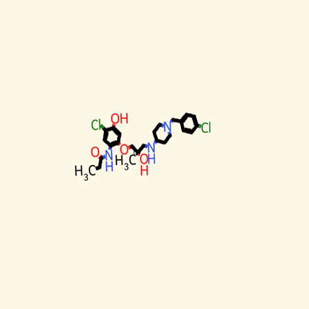 CCC(=O)Nc1cc(Cl)c(O)cc1OC[C@@](C)(O)CNC1CCN(Cc2ccc(Cl)cc2)CC1